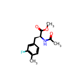 COC(=O)[C@H](Cc1ccc(C)c(F)c1)NC(C)=O